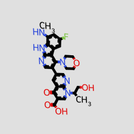 CNc1cc(F)cc2c1[nH]c1ncc(-c3cnc4c(c3)c(=O)c(C(=O)O)cn4C(C)CO)c(N3CCOCC3)c12